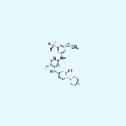 COc1cc(Nc2ncc(F)c(Nc3ccc(N4CCOCC4)c(Cl)c3)n2)cc(C(F)(F)F)c1